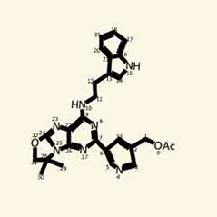 CC(=O)OCc1cncc(-c2nc(NCCc3c[nH]c4ccccc34)c3nc4n(c3n2)C(C)(C)CO4)c1